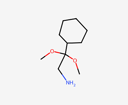 COC(CN)(OC)C1CCCCC1